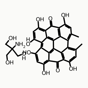 Cc1cc(O)c2c(=O)c3c(O)cc(O)c4c5c(O)cc(O)c6c(=O)c7c(O)cc(C)c8c1c2c(c34)c(c78)c65.NC(CO)(CO)CO